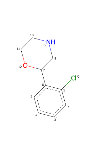 Clc1c[c]ccc1C1CNCCO1